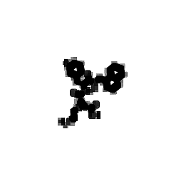 C=CCN1[C@H](C(=O)O)[C@H]1C(=O)N[C@@H](Cc1ccccc1)C(=O)NCc1cccc2ccccc12.[Na]